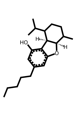 CCCCCc1cc(O)c2c(c1)O[C@@H]1C(C)CCC(C(C)C)[C@H]21